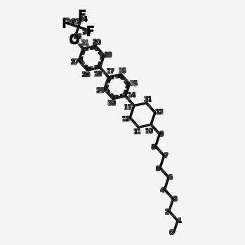 CCCCCCCCCCC1CCC(c2ccc(-c3ccc(OC(F)(F)F)cc3)cc2)CC1